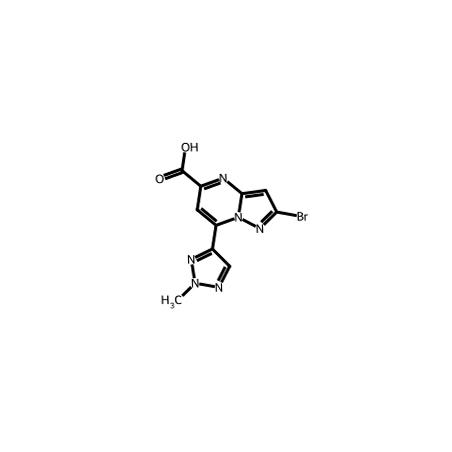 Cn1ncc(-c2cc(C(=O)O)nc3cc(Br)nn23)n1